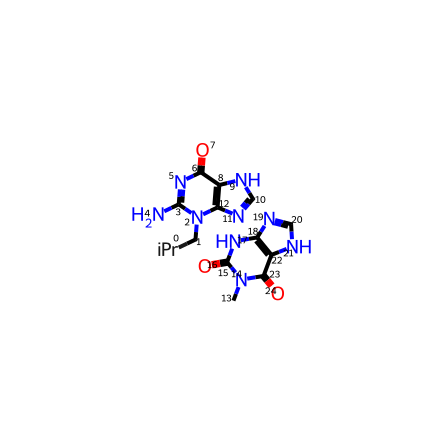 CC(C)Cn1c(N)nc(=O)c2[nH]cnc21.Cn1c(=O)[nH]c2nc[nH]c2c1=O